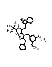 COc1cc(Cn2c(Cc3ccccc3)nnc2C(Cc2c[nH]c3ccccc23)NC(=O)C(C)(C)N)cc(OC)c1